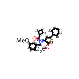 COc1cccc(CN(C(=O)C2CCC2)c2cc(-c3ccccc3)sc2OC(=O)O)c1